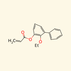 C=CC(=O)Oc1cccc(-c2ccccc2)c1OCC